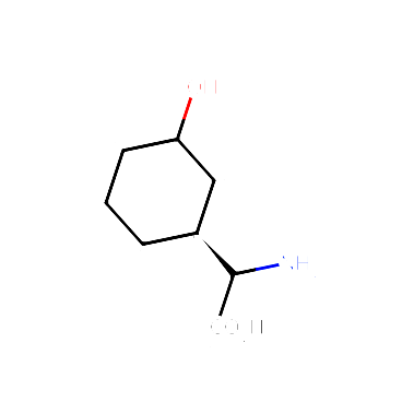 NC(C(=O)O)[C@H]1CCCC(O)C1